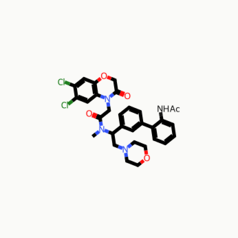 CC(=O)Nc1ccccc1-c1cccc(C(CN2CCOCC2)N(C)C(=O)CN2C(=O)COc3cc(Cl)c(Cl)cc32)c1